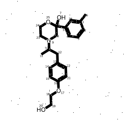 Cc1cccc(C2(O)CN(C(C)Cc3ccc(OCCO)cc3)CCO2)c1